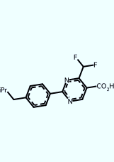 CC(C)Cc1ccc(-c2ncc(C(=O)O)c(C(F)F)n2)cc1